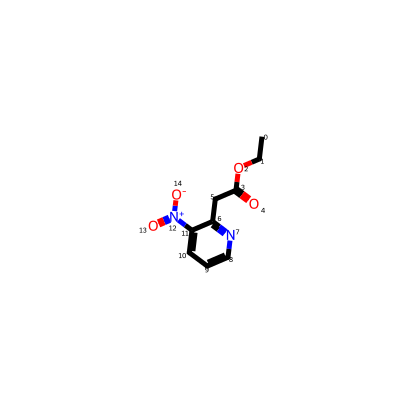 CCOC(=O)Cc1ncccc1[N+](=O)[O-]